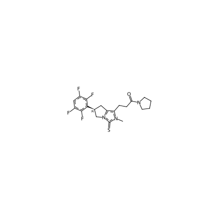 Cn1c(CCC(=O)N2CCCC2)c2n(c1=S)C[C@@H](c1c(F)c(F)cc(F)c1F)C2